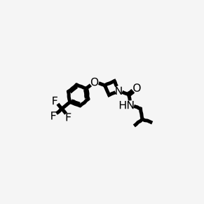 CC(C)CNC(=O)N1CC(Oc2ccc(C(F)(F)F)cc2)C1